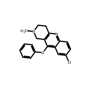 CN1CCc2nc3ccc(Cl)cc3c(Oc3ccccc3)c2C1